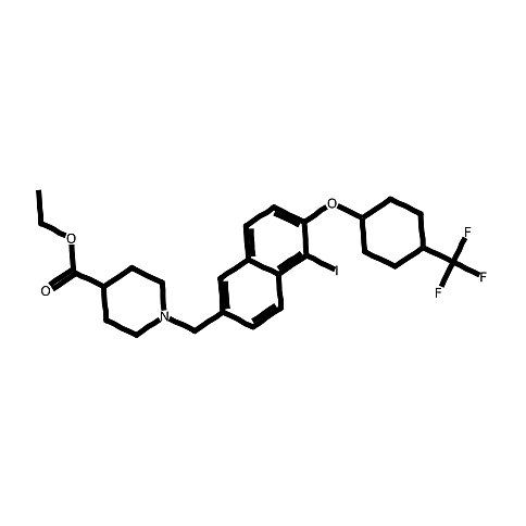 CCOC(=O)C1CCN(Cc2ccc3c(I)c(OC4CCC(C(F)(F)F)CC4)ccc3c2)CC1